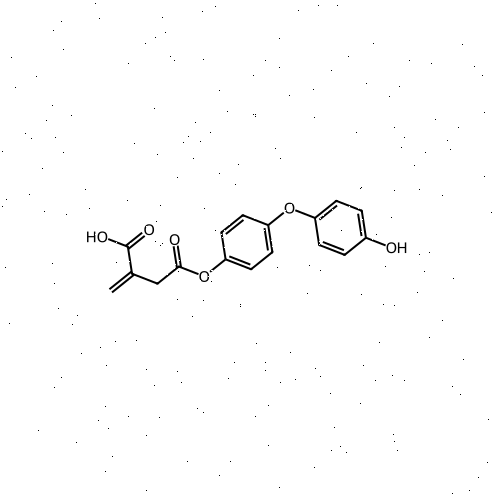 C=C(CC(=O)Oc1ccc(Oc2ccc(O)cc2)cc1)C(=O)O